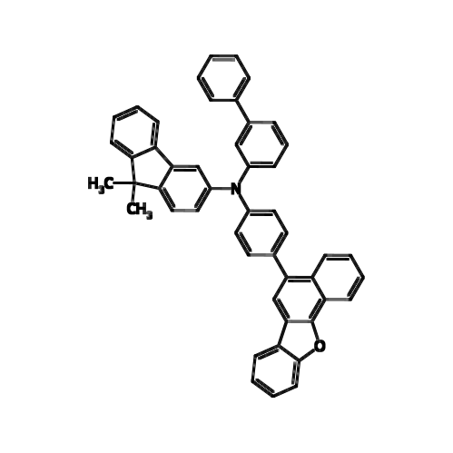 CC1(C)c2ccccc2-c2cc(N(c3ccc(-c4cc5c6ccccc6oc5c5ccccc45)cc3)c3cccc(-c4ccccc4)c3)ccc21